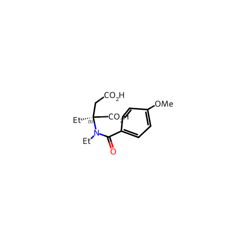 CCN(C(=O)c1ccc(OC)cc1)[C@@](CC)(CC(=O)O)C(=O)O